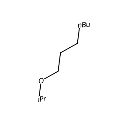 [CH2]CCCCCCOC(C)C